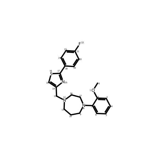 COc1ccccc1N1CCCN(Cc2csc(-c3ccc(F)cc3)n2)CC1